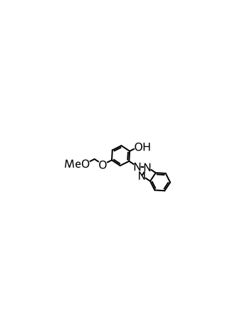 COCOc1ccc(O)c(-n2n3c4ccccc4n23)c1